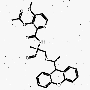 COc1ccnc(C(=O)N[C@@](C)(C=O)COC(C)C2c3ccccc3Oc3ccccc32)c1OC(C)=O